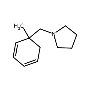 CC1(CN2CCCC2)C=CC=CC1